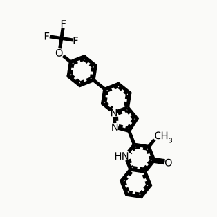 Cc1c(-c2cc3ccc(-c4ccc(OC(F)(F)F)cc4)cn3n2)[nH]c2ccccc2c1=O